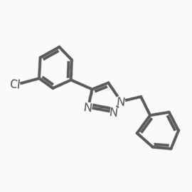 Clc1cccc(-c2cn(Cc3ccccc3)nn2)c1